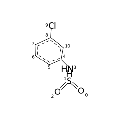 O=[SH](=O)Nc1cccc(Cl)c1